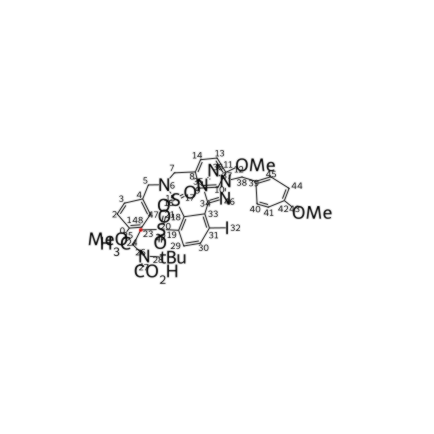 COc1ccc(CN(Cc2ccc(OC)cc2)S(=O)(=O)c2c(S(=O)(=O)C[C@H](C)N(C(=O)O)C(C)(C)C)ccc(I)c2-c2nnn(Cc3ccc(OC)cc3)n2)cc1